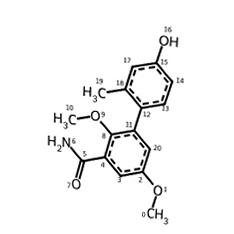 COc1cc(C(N)=O)c(OC)c(-c2ccc(O)cc2C)c1